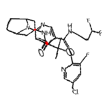 CC(C)(Oc1ncc(Cl)cc1F)C(=O)NC1CC2CCC(C1)N2c1ccc(C(=O)NCC(F)F)cn1